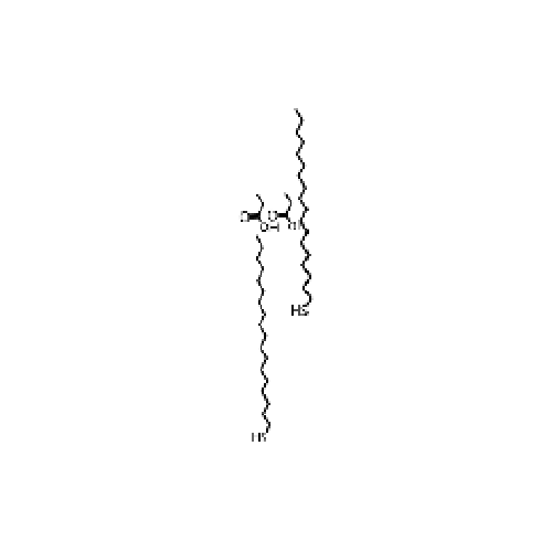 CCC(=O)O.CCC(=O)O.CCCCCCCCCCCCCCCCCCS.CCCCCCCCCCCCCCCCCCS